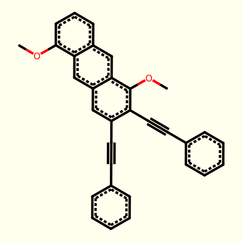 COc1cccc2cc3c(OC)c(C#Cc4ccccc4)c(C#Cc4ccccc4)cc3cc12